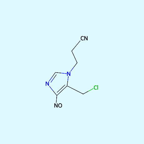 N#CCCn1cnc(N=O)c1CCl